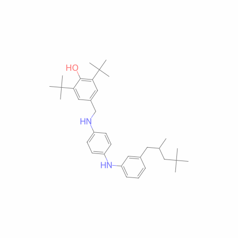 CC(Cc1cccc(Nc2ccc(NCc3cc(C(C)(C)C)c(O)c(C(C)(C)C)c3)cc2)c1)CC(C)(C)C